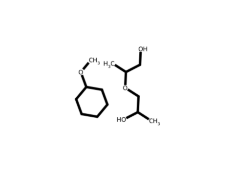 CC(O)COC(C)CO.COC1CCCCC1